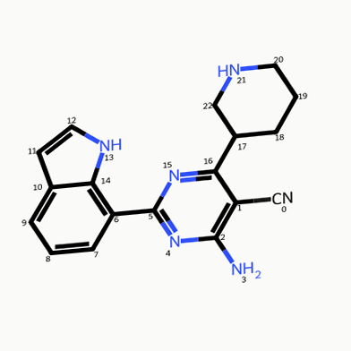 N#Cc1c(N)nc(-c2cccc3cc[nH]c23)nc1C1CCCNC1